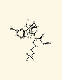 CC(C)(C)OC(=O)N(COCC[Si](C)(C)C)C1=N[C@](CF)(c2cc(Br)ccc2F)C2C[C@]2(/C=N/O)S1